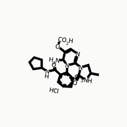 CC1CN(C2=NC=C(OC(=O)O)C(N)N2c2c(C(=O)NC3CCCC3)cccc2C(F)(F)F)C(=O)N1.Cl